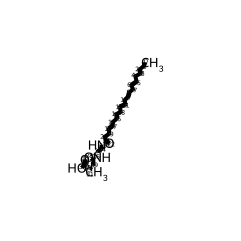 CCC=CCC=CCC=CCC=CCC=CCC=CCCC(=O)NCCNC(=O)CN(C)C(=O)O